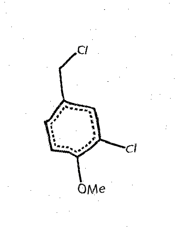 COc1ccc(CCl)cc1Cl